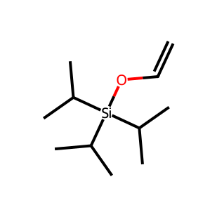 C=CO[Si](C(C)C)(C(C)C)C(C)C